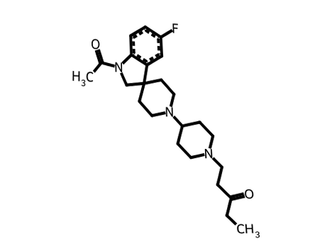 CCC(=O)CCN1CCC(N2CCC3(CC2)CN(C(C)=O)c2ccc(F)cc23)CC1